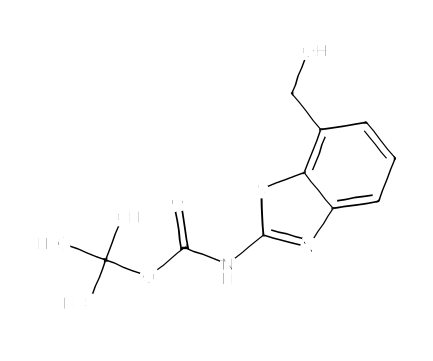 CC(C)(C)OC(=O)Nc1nc2cccc(CO)c2s1